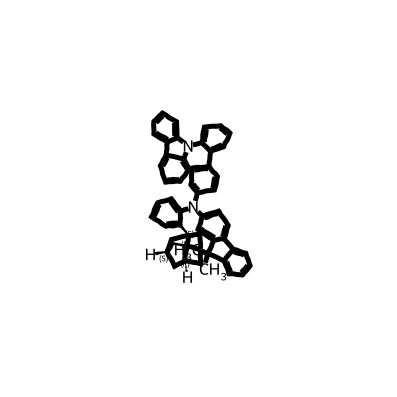 CC1(C)c2ccccc2-c2ccc(N(c3ccc(-c4ccccc4-n4c5ccccc5c5ccccc54)cc3)c3ccccc3[C@]34CC5C[C@H]6C[C@H](C3)C[C@@]564)cc21